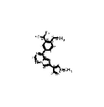 Cn1cc(-c2cc3c(-c4ccc(CN)c(C(F)F)c4)ncnn3c2)cn1